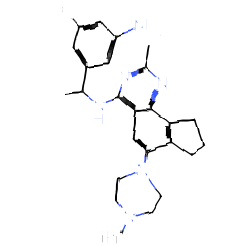 Cc1nc(NC(C)c2cc(N)cc(C(F)(F)F)c2)c2cc(N3CCN(C(C)C)CC3)c3c(c2n1)CCC3